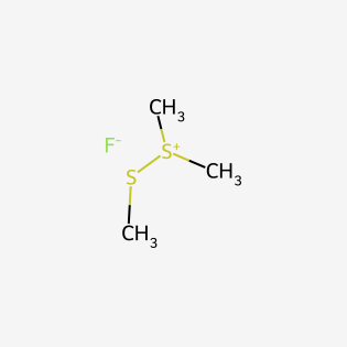 CS[S+](C)C.[F-]